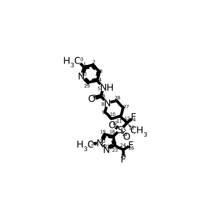 Cc1ccc(NC(=O)N2CCC([C@@](C)(F)S(=O)(=O)c3cn(C)nc3C(F)F)CC2)cn1